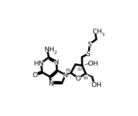 CCSSC[C@]1(O)C[C@H](n2cnc3c(=O)[nH]c(N)nc32)O[C@@H]1CO